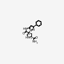 NC(=O)[C@@H]1C[C@@]2(CN1)C(=O)Nc1cc(-c3ccccc3)nn12